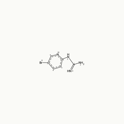 N=C(N)Nc1ccc(Br)cn1